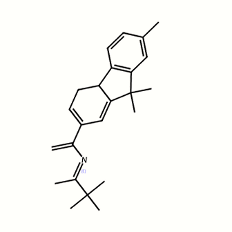 C=C(/N=C(\C)C(C)(C)C)C1=CCC2C(=C1)C(C)(C)c1cc(C)ccc12